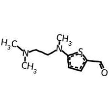 CN(C)CCN(C)c1ccc(C=O)s1